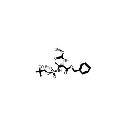 CCOC(=O)C(C)(C)COS(=O)(=O)N[C@@H](C)[C@H](NC(=O)OC(C)(C)C)C(=O)OCc1ccccc1